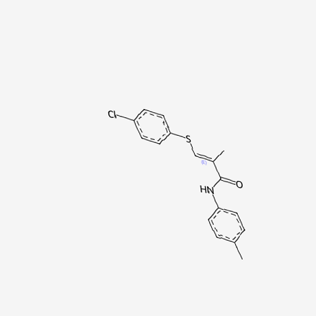 C/C(=C\Sc1ccc(Cl)cc1)C(=O)Nc1ccc(C)cc1